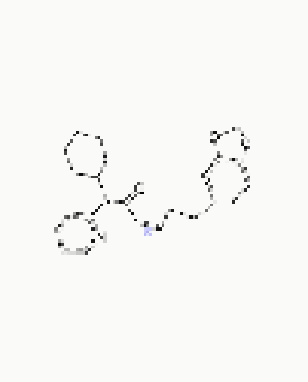 O=C(/C=C\CCc1ccc2c(c1)OCO2)N(c1ccccn1)C1CCCCC1